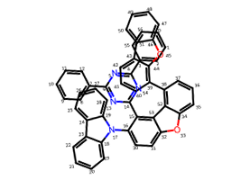 c1ccc(-c2nc(-c3ccccc3)nc(-c3c(-n4c5ccccc5c5ccccc54)ccc4oc5cccc(-c6cccc7c6oc6ccccc67)c5c34)n2)cc1